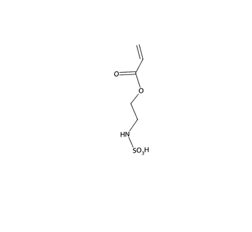 C=CC(=O)OCCNS(=O)(=O)O